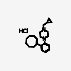 C1=C(c2ccccc2N2CCN(CC3CC3)CC2)CCCCCC1.Cl